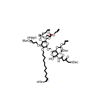 C=CCOC(=O)OC[C@H]1O[C@H](OC[C@H]2O[C@H](O)[C@H](NC(=O)CC(=O)CCCCCCCCCCC)[C@@H](OCCCCCCCCCC)[C@@H]2OC(=O)OCC=C)[C@H](OCCCCCCCCCC/C=C\CCCCCC)[C@@H](OCC[C@@H](CCCCCCC)OC)[C@@H]1OP(=O)(OCC=C)OCC=C